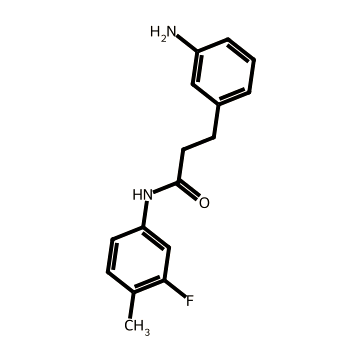 Cc1ccc(NC(=O)CCc2cccc(N)c2)cc1F